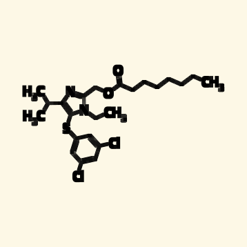 CCCCCCCC(=O)OCc1nc(C(C)C)c(Sc2cc(Cl)cc(Cl)c2)n1CC